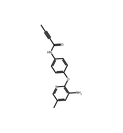 CC#CC(=O)Nc1ccc(Oc2ncc(C)cc2N)cc1